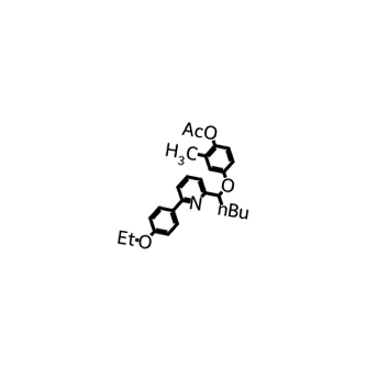 CCCCC(Oc1ccc(OC(C)=O)c(C)c1)c1cccc(-c2ccc(OCC)cc2)n1